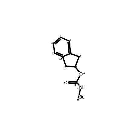 CC(C)(C)NC(=O)OC1Cc2ccccc2C1